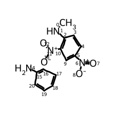 CNc1ccc([N+](=O)[O-])cc1[N+](=O)[O-].Nc1ccccc1